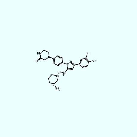 N#Cc1ccc(-c2cc(NC[C@H]3CCC[C@H](N)C3)n(-c3ccc(N4CCNC(=O)C4)cc3)n2)cc1F